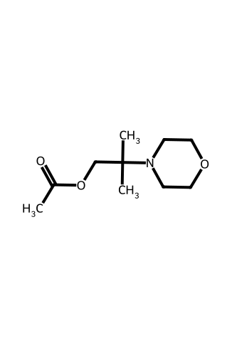 CC(=O)OCC(C)(C)N1CCOCC1